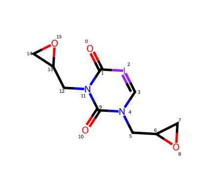 O=C1I=CN(CC2CO2)C(=O)N1CC1CO1